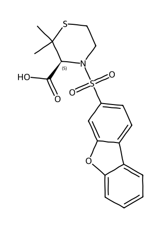 CC1(C)SCCN(S(=O)(=O)c2ccc3c(c2)oc2ccccc23)[C@H]1C(=O)O